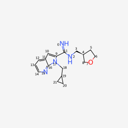 N=C(NC[C@H]1CCOC1)c1cc2cccnc2n1CC1CC1